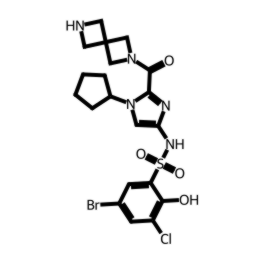 O=C(c1nc(NS(=O)(=O)c2cc(Br)cc(Cl)c2O)cn1C1CCCC1)N1CC2(CNC2)C1